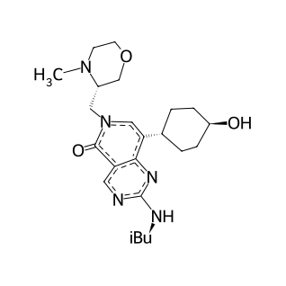 CC[C@H](C)Nc1ncc2c(=O)n(C[C@H]3COCCN3C)cc([C@H]3CC[C@H](O)CC3)c2n1